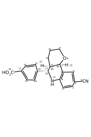 N#Cc1ccc2c(c1)[C@@H]1OCCC[C@@H]1[C@@H](c1ccc(C(=O)O)cc1)N2